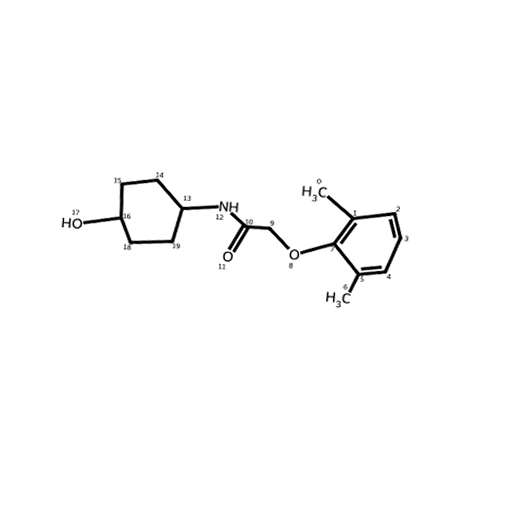 Cc1cccc(C)c1OCC(=O)NC1CCC(O)CC1